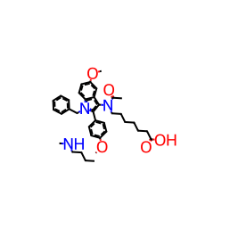 CCCCNC.COc1ccc(-c2c(N(CCCCCCC(=O)O)C(C)=O)c3cc(OC)ccc3n2Cc2ccccc2)cc1